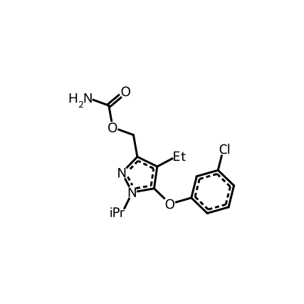 CCc1c(COC(N)=O)nn(C(C)C)c1Oc1cccc(Cl)c1